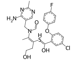 C/C(=C(CCO)/[SH]=C(\O)c1cc(Cl)ccc1Oc1ccc(F)cc1)N(C=O)Cc1cnc(C)nc1N